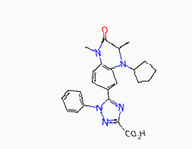 CC1C(=O)N(C)c2ccc(-c3nc(C(=O)O)nn3-c3ccccc3)cc2N1C1CCCC1